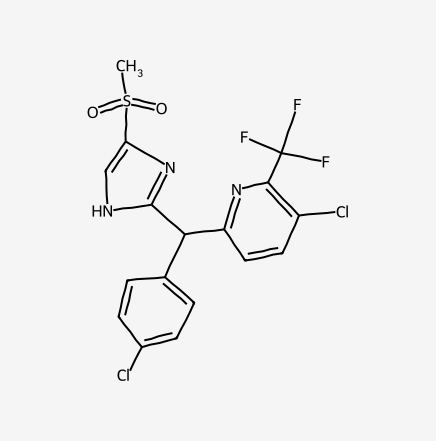 CS(=O)(=O)c1c[nH]c(C(c2ccc(Cl)cc2)c2ccc(Cl)c(C(F)(F)F)n2)n1